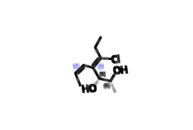 C/C=C\C(=C(\Cl)CC)[C@@H](O)[C@@H](C)O